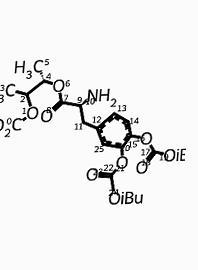 CCOC(=O)OC(C)[C@H](C)OC(=O)[C@@H](N)Cc1ccc(OC(=O)OCC(C)C)c(OC(=O)OCC(C)C)c1